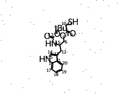 CC(C)(C)OC(=O)NC(COC(=O)CS)Cc1c[nH]c2ccccc12